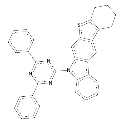 c1ccc(-c2nc(-c3ccccc3)nc(-n3c4ccccc4c4cc5c6c(sc5cc43)CCCC6)n2)cc1